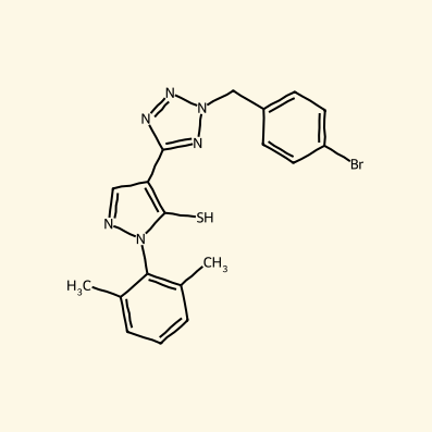 Cc1cccc(C)c1-n1ncc(-c2nnn(Cc3ccc(Br)cc3)n2)c1S